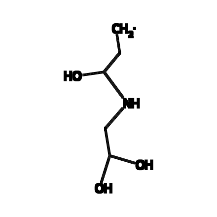 [CH2]CC(O)NCC(O)O